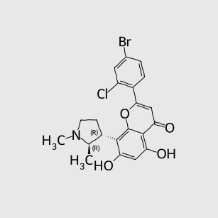 C[C@@H]1[C@@H](c2c(O)cc(O)c3c(=O)cc(-c4ccc(Br)cc4Cl)oc23)CCN1C